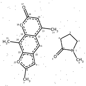 CN1CCCC1=O.Cc1cc2cc3c(C)cc(=O)oc3c(C)c2o1